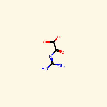 NC(N)=NC(=O)C(=O)O